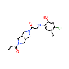 C=CC(=O)N1CC2CN(C(=O)CNc3cc(CC)c(Cl)cc3O)CC2C1